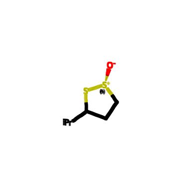 CC(C)C1CC[S@+]([O-])S1